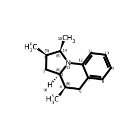 C[C@@H]1C[C@@H]2[C@H](C)Cc3ccccc3N2[C@@H]1C